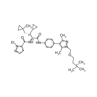 CCn1nccc1C(=O)N[C@H](C(=O)Nc1ccc(-c2c(C)nn(COCCS(C)(C)C)c2C)cc1)[C@H](CC1(C)CC1)C1CC1